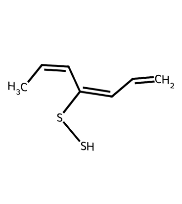 C=C/C=C(\C=C/C)SS